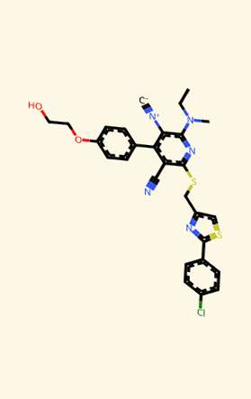 [C-]#[N+]c1c(N(C)CC)nc(SCc2csc(-c3ccc(Cl)cc3)n2)c(C#N)c1-c1ccc(OCCO)cc1